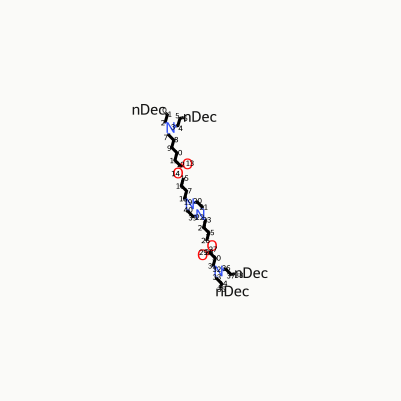 CCCCCCCCCCCCN(CCCCCCCCCCCC)CCCCCC(=O)OCCCCN1CCN(CCCCOC(=O)CCN(CCCCCCCCCCCC)CCCCCCCCCCCC)CC1